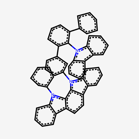 c1ccc(-c2cccc(-c3cccc(-n4c5ccccc5c5ccc6c7ccccc7n(-c7ccccc7)c6c54)c3)c2-n2c3ccccc3c3ccccc32)cc1